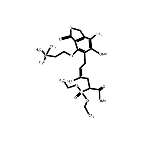 COC(=O)C(CC(C)=CCc1c(OC)c(C)c2c(c1OCC[Si](C)(C)C)C(=O)OC2)P(=O)(OCC(F)(F)F)OCC(F)(F)F